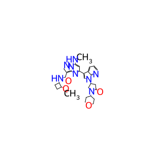 CNc1cc(-c2cn([C@H]3CC(=O)N(C4CCOCC4)C3)c3ncccc23)nc2c(C(=O)N[C@H]3CC[C@@H]3OC)cnn12